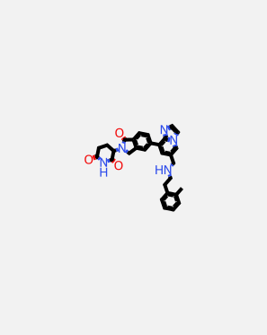 Cc1ccccc1CCNCc1cc(-c2ccc3c(c2)CN(C2CCC(=O)NC2=O)C3=O)c2nccn2c1